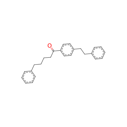 O=C(CCCCc1ccccc1)c1ccc(CCc2ccccc2)cc1